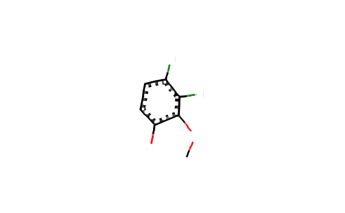 COc1c([O])ccc(Cl)c1Cl